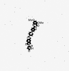 COc1cc(OC)c2c(=O)[nH]c(-c3ccc(N4CCC(N(C)Cc5ccc6c(c5)CN(C5CCC(=O)NC5=O)C6=O)CC4)cc3)nc2c1